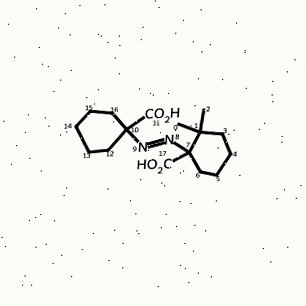 CC1(C)CCCCC1(/N=N/C1(C(=O)O)CCCCC1)C(=O)O